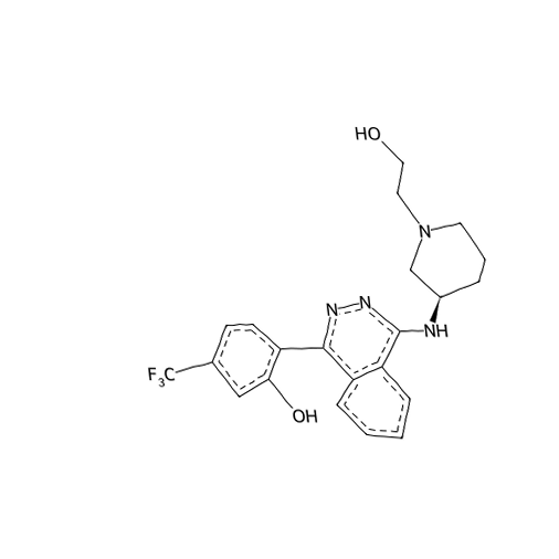 OCCN1CCC[C@@H](Nc2nnc(-c3ccc(C(F)(F)F)cc3O)c3ccccc23)C1